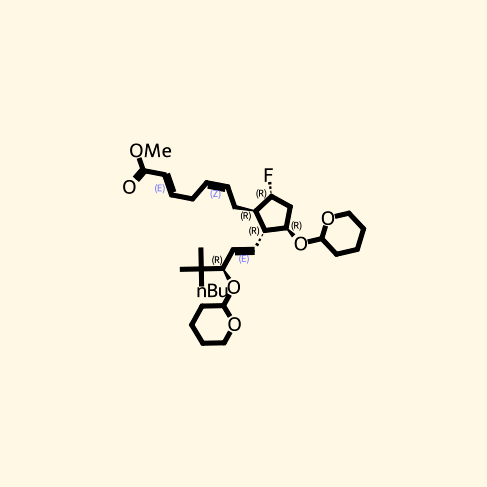 CCCCC(C)(C)[C@@H](/C=C/[C@@H]1[C@@H](C/C=C\C/C=C/C(=O)OC)[C@H](F)C[C@H]1OC1CCCCO1)OC1CCCCO1